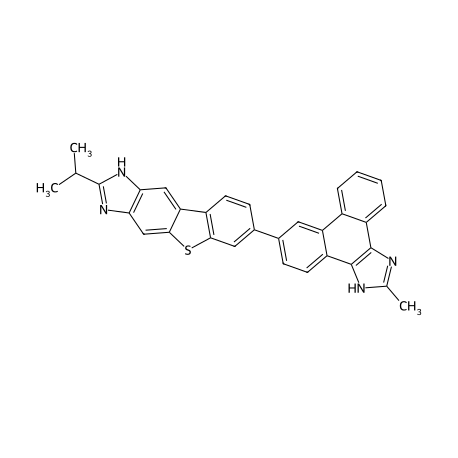 Cc1nc2c3ccccc3c3cc(-c4ccc5c(c4)sc4cc6nc(C(C)C)[nH]c6cc45)ccc3c2[nH]1